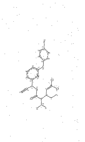 CCC(C=C(Cl)Cl)C(C(=O)OC(C#N)c1cccc(Oc2ccc(F)cc2)n1)C(C)C